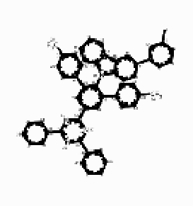 Cc1cccc(-c2ccc3c(c2)c2ccccc2n3-c2c(-c3ccc(C(F)(F)F)cc3)cc(-c3nc(-c4ccccc4)nc(-c4ccccc4)n3)cc2-c2ccc(C(F)(F)F)cc2)c1